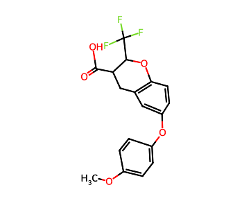 COc1ccc(Oc2ccc3c(c2)CC(C(=O)O)C(C(F)(F)F)O3)cc1